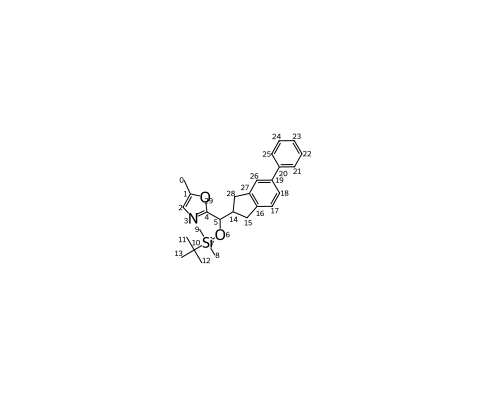 Cc1cnc(C(O[Si](C)(C)C(C)(C)C)C2Cc3ccc(-c4ccccc4)cc3C2)o1